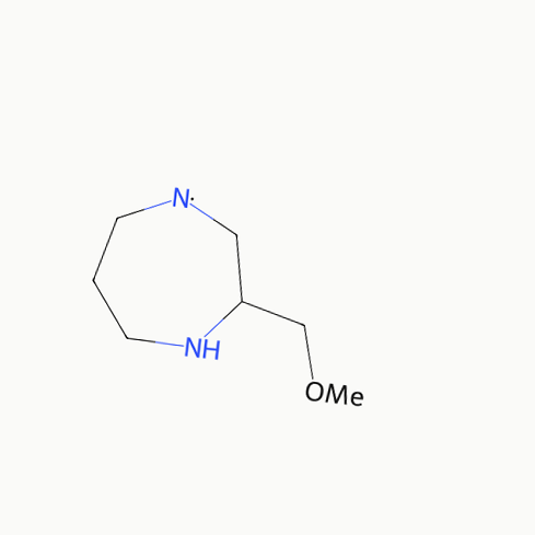 COCC1C[N]CCCN1